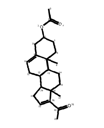 CC(=O)OC1CCC2(C)C(=CCC3C2CCC2(C)C(C(C)=O)=CCC32)C1